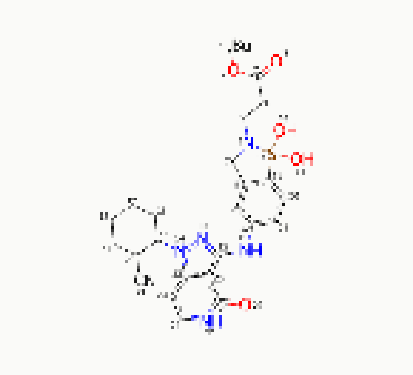 CC(C)(C)OC(=O)CCN1Cc2cc(Nc3nn(C4CCCCC4C#N)c4cc[nH]c(=O)c34)ccc2S1(O)O